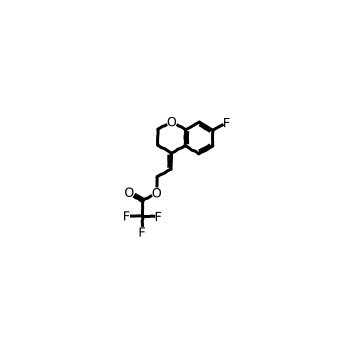 O=C(OC/C=C1\CCOc2cc(F)ccc21)C(F)(F)F